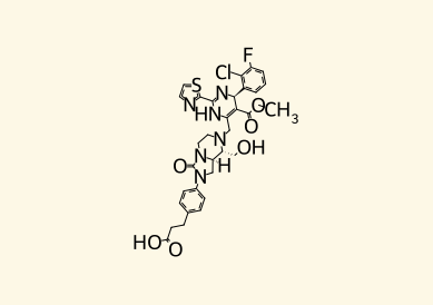 COC(=O)C1=C(CN2CCN3C(=O)N(c4ccc(CCC(=O)O)cc4)C[C@@H]3[C@H]2CO)NC(c2nccs2)=N[C@H]1c1cccc(F)c1Cl